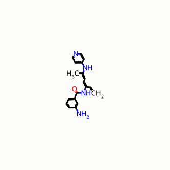 C=C/C(=C\C=C(/C)Nc1ccncc1)NC(=O)c1cccc(N)c1